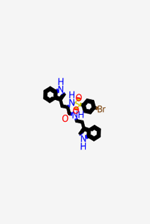 O=C(NCCc1c[nH]c2ccccc12)C(Cc1c[nH]c2ccccc12)NS(=O)(=O)c1ccc(Br)cc1